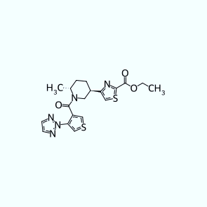 CCOC(=O)c1nc([C@@H]2CC[C@@H](C)N(C(=O)c3cscc3-n3nccn3)C2)cs1